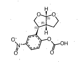 O=C(O)Oc1ccc([N+](=O)[O-])cc1[C@H]1CO[C@@H]2OCC[C@@H]21